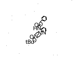 CC(C)(C)OC(=O)N1CCN(c2ncccc2NC(=O)OCc2ccccc2)CC1